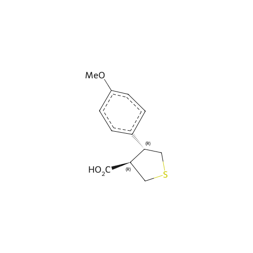 COc1ccc([C@@H]2CSC[C@H]2C(=O)O)cc1